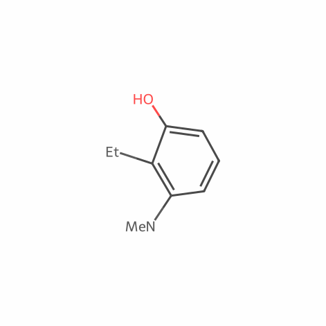 CCc1c(O)cccc1NC